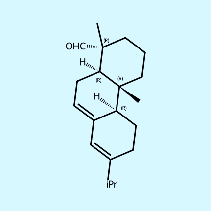 CC(C)C1=CC2=CC[C@@H]3[C@](C)(CCC[C@@]3(C)C=O)[C@H]2CC1